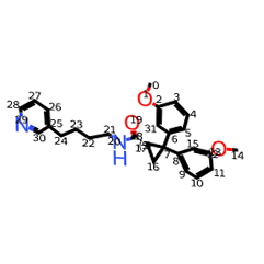 COc1cccc(C2(c3cccc(OC)c3)C[C@@H]2C(=O)NCCCCc2cccnc2)c1